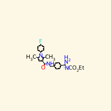 CCOC(=O)/N=C(\N)c1ccc(CNC(=O)c2cc(C)n(-c3ccc(F)cc3)c2C)cc1